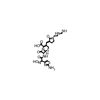 N=CNCCN1CC/C(=C\C2=C(C(=O)O)N3C(=O)[C@@H](NC(=O)/C(=N\O)c4csc(N)n4)[C@H]3SC2)C1=O